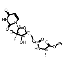 CC(C)OC(=O)[C@H](C)N[PH](=O)OC[C@H]1O[C@@H](n2ccc(=O)[nH]c2=O)[C@](F)(Cl)[C@@H]1O